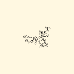 CCNS(=O)(=O)c1cc2cc[nH]c2cc1/C=[N+](\[O-])C(C)(C)C